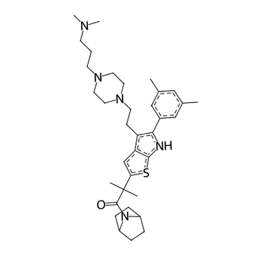 Cc1cc(C)cc(-c2[nH]c3sc(C(C)(C)C(=O)N4C5CCC4CC5)cc3c2CCN2CCN(CCCN(C)C)CC2)c1